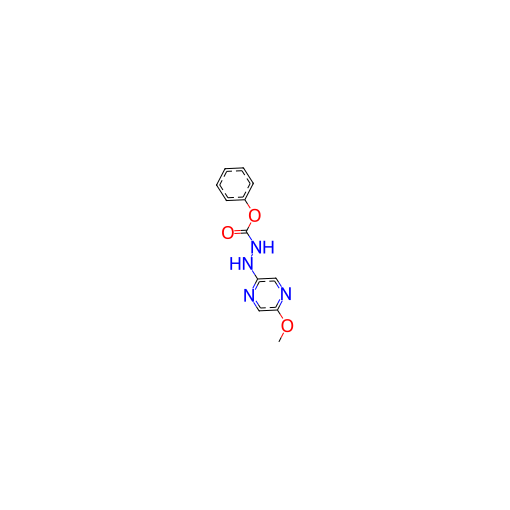 COc1cnc(NNC(=O)Oc2ccccc2)cn1